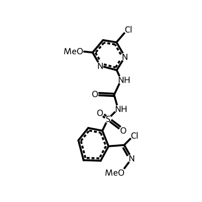 CO/N=C(/Cl)c1ccccc1S(=O)(=O)NC(=O)Nc1nc(Cl)cc(OC)n1